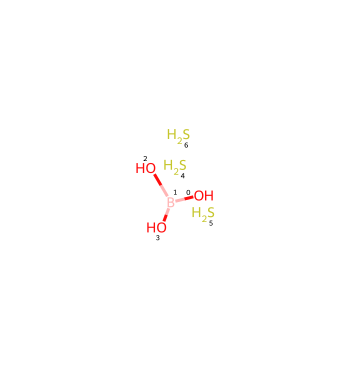 OB(O)O.S.S.S